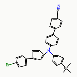 C[Si](C)(C)c1ccc(N(c2ccc(-c3ccc(Br)cc3)cc2)c2ccc(-c3ccc(C#N)cc3)cc2)cc1